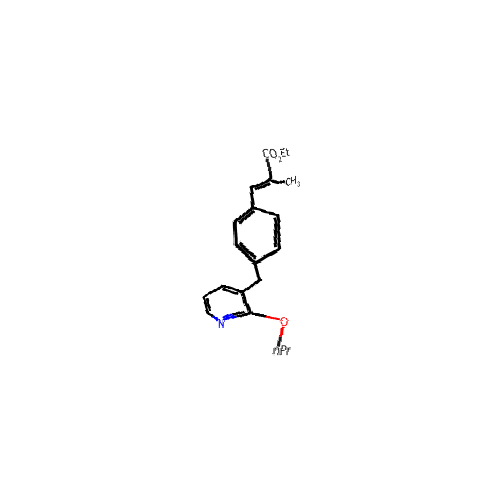 CCCOc1ncccc1Cc1ccc(C=C(C)C(=O)OCC)cc1